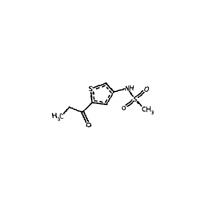 CCC(=O)c1cc(NS(C)(=O)=O)cs1